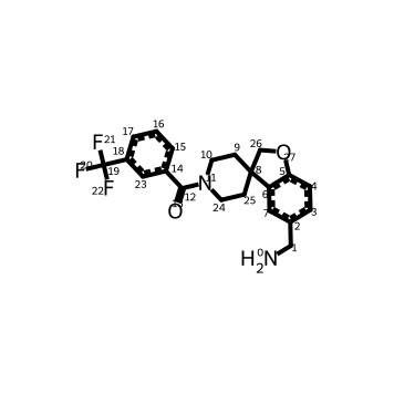 NCc1ccc2c(c1)C1(CCN(C(=O)c3cccc(C(F)(F)F)c3)CC1)CO2